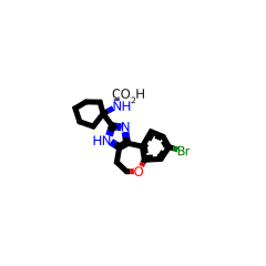 O=C(O)NC1(c2nc3c([nH]2)CCOc2cc(Br)ccc2-3)CCCCC1